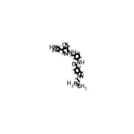 CN(C)CCn1ncc2cc(C(=O)Nc3cccc(CNc4ncc(-c5cn[nH]c5)c5c4CCO5)c3)ccc21